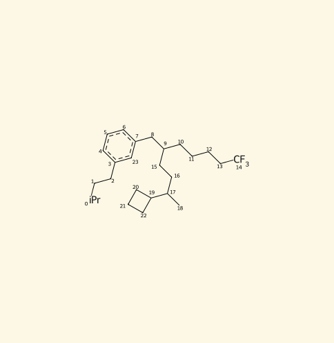 CC(C)CCc1cccc(CC(CCCCC(F)(F)F)CCC(C)C2CCC2)c1